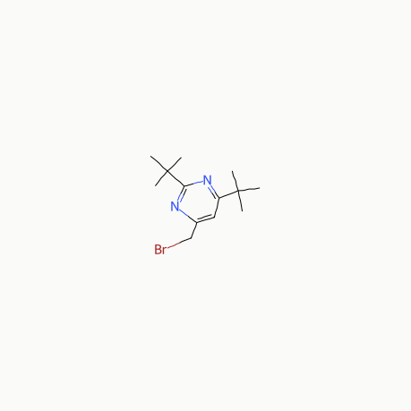 CC(C)(C)c1cc(CBr)nc(C(C)(C)C)n1